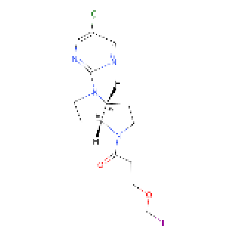 O=C(CCOCI)N1CC[C@@H]2[C@H]1CCN2c1ncc(Cl)cn1